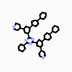 c1ccc(-c2ccc(-c3cc(-c4ccncc4)cc(-c4nc(-c5ccccc5)nc(-c5cc(-c6ccncc6)cc(-c6ccc(-c7ccccc7)cc6)c5)n4)c3)cc2)cc1